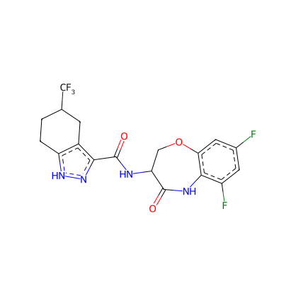 O=C(NC1COc2cc(F)cc(F)c2NC1=O)c1n[nH]c2c1CC(C(F)(F)F)CC2